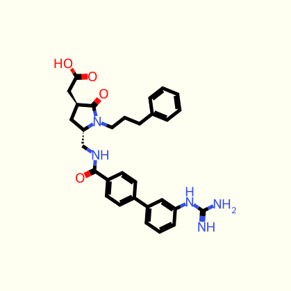 N=C(N)Nc1cccc(-c2ccc(C(=O)NC[C@@H]3C[C@@H](CC(=O)O)C(=O)N3CCCc3ccccc3)cc2)c1